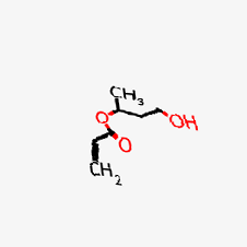 C=CC(=O)OC(C)CCO